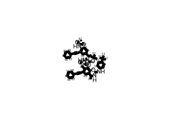 CC(NC(=O)Nc1ccc(C(C)(C)C)cc1)c1ccc(CS(=O)(=O)NN(C(=O)OC(C)(C)C)C(C)c2ccc(NS(C)(=O)=O)c(C#Cc3ccccc3)c2)c(C#Cc2ccccc2)c1